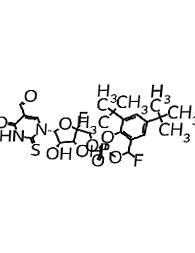 CC(C)(C)c1cc2c(c(C(C)(C)C)c1)OP(=O)(OC[C@@]1(F)O[C@@H](n3cc(C=O)c(=O)[nH]c3=S)[C@H](O)[C@@H]1O)OC2F